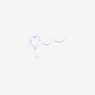 CCNCn1nnnc1N